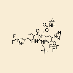 CC(C)(C)CCNC(=N)N(C(=O)c1ccc(-c2cnn(C(F)F)c2)cc1)[C@H](COC(=O)NC1(C)CC1)c1ccc(OC(F)(F)F)c(-n2cncn2)c1